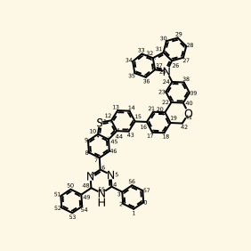 c1ccc(C2=NC(c3ccc4sc5ccc(-c6ccc7c(c6)-c6cc(-n8c9ccccc9c9ccccc98)ccc6OC7)cc5c4c3)=NC(c3ccccc3)N2)cc1